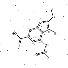 CCc1sc2cc(C(=O)O)cc(OC(C)=O)c2c1C